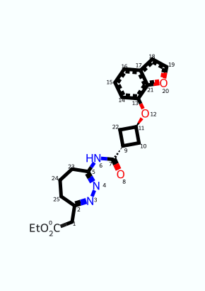 CCOC(=O)CC1=NN=C(NC(=O)[C@H]2C[C@H](Oc3cccc4ccoc34)C2)CCC1